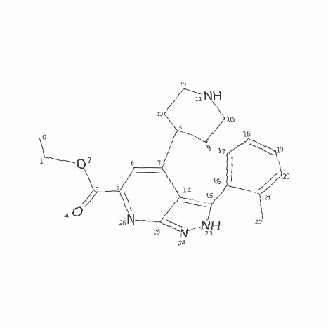 CCOC(=O)c1cc(C2CCNCC2)c2c(-c3ccccc3C)[nH]nc2n1